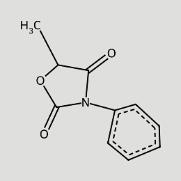 CC1OC(=O)N(c2ccccc2)C1=O